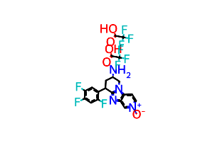 N[C@@H]1CC(c2cc(F)c(F)cc2F)c2nc3c[n+]([O-])ccc3n2C1.O=C(O)C(F)(F)F.O=C(O)C(F)(F)F